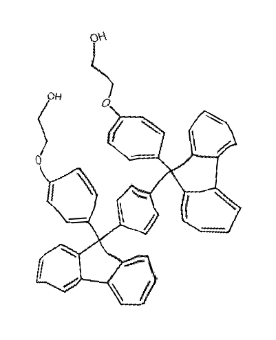 OCCOc1ccc(C2(c3ccc(C4(c5ccc(OCCO)cc5)c5ccccc5-c5ccccc54)cc3)c3ccccc3-c3ccccc32)cc1